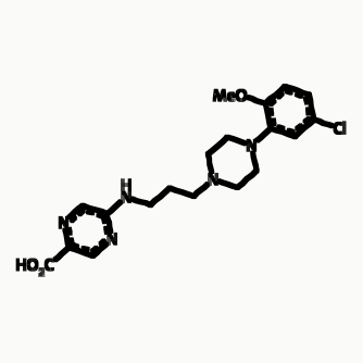 COc1ccc(Cl)cc1N1CCN(CCCNc2cnc(C(=O)O)cn2)CC1